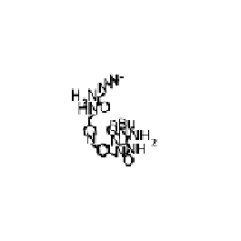 CCCCOc1nc(N)c2[nH]c(=O)n(Cc3ccc(CN4CCC(CCNC(=O)[C@@H](N)CN=[N+]=[N-])CC4)cc3)c2n1